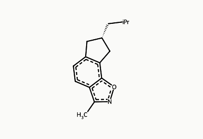 Cc1noc2c3c(ccc12)C[C@H](CC(C)C)C3